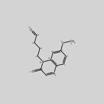 COc1ccc2ncc(=O)n(CCCC=O)c2c1